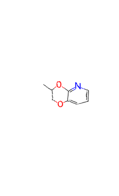 CC1COc2cccnc2O1